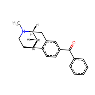 CN1CC[C@]23CCCC[C@H]2[C@H]1Cc1cc(C(=O)c2ccccc2)ccc13